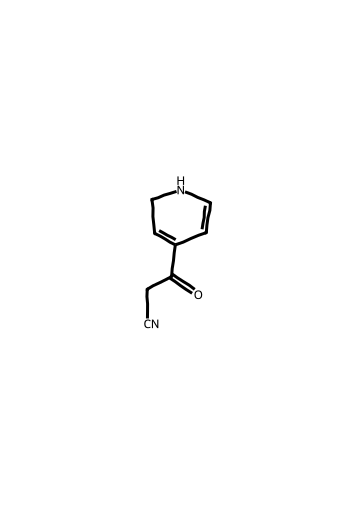 N#CCC(=O)C1=CCNC=C1